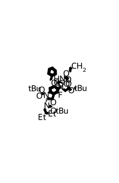 C=CCOC(=O)NS(=O)(=O)N(CC(=O)OC(C)(C)C)c1c(OCc2ccccc2)cc2c(c1F)C[C@H](CN(CC(CC)CC)C(=O)OC(C)(C)C)N2C(=O)OC(C)(C)C